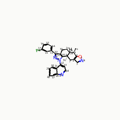 C[C@H]1c2oncc2C[C@@]2(C)c3c(c(-c4cccc(F)c4)nn3-c3ccnc4ccccc34)CC[C@H]12